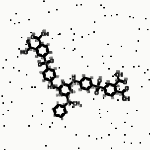 CN(c1ccccc1)c1nc(Nc2ccc(S(=O)(=O)c3ccc(C(=O)O)c(C(=O)O)c3)cc2)nc(Nc2ccc(S(=O)(=O)c3ccc(C(=O)O)c(C(=O)O)c3)cc2)n1